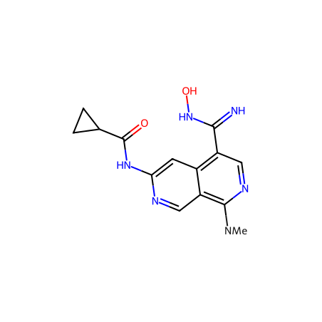 CNc1ncc(C(=N)NO)c2cc(NC(=O)C3CC3)ncc12